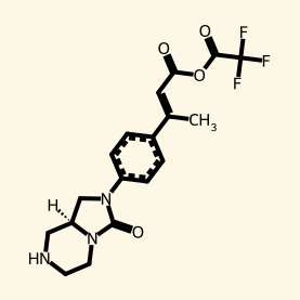 C/C(=C\C(=O)OC(=O)C(F)(F)F)c1ccc(N2C[C@@H]3CNCCN3C2=O)cc1